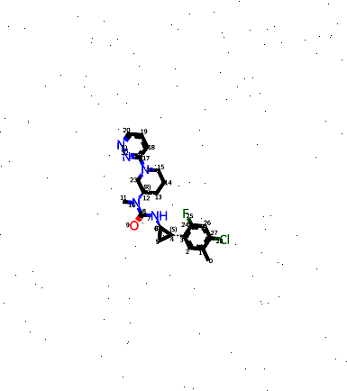 Cc1cc([C@@H]2C[C@H]2NC(=O)N(C)[C@@H]2CCCN(c3cccnn3)C2)c(F)cc1Cl